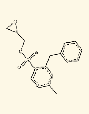 Cc1ccc(S(=O)(=O)OCC2CO2)c(Cc2ccccc2)c1